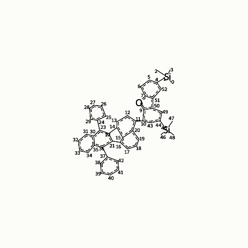 C[Si](C)(C)c1ccc2oc3c(-c4ccc5c6c(cccc46)-c4c-5c(-c5ccccc5)c5ccccc5c4-c4ccccc4)cc([Si](C)(C)C)cc3c2c1